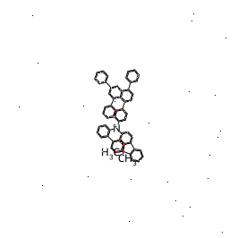 CC1(C)c2ccccc2-c2ccc(N(c3ccc(-c4ccc(-c5ccccc5)c5cc(-c6ccccc6)cc(-c6ccccc6)c45)cc3)c3ccccc3-c3ccccc3)cc21